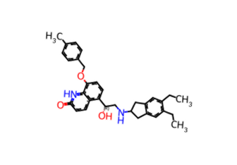 CCc1cc2c(cc1CC)CC(NC[C@H](O)c1ccc(OCc3ccc(C)cc3)c3[nH]c(=O)ccc13)C2